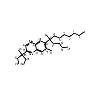 CCCCCCCC(C)(CCCC)c1cc2ncc(C(C)(CC)CC)nc2cc1C